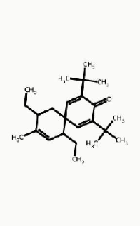 CCC1CC2(C=C(C(C)(C)C)C(=O)C(C(C)(C)C)=C2)C(CC)C=C1C